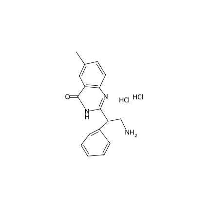 Cc1ccc2nc(C(CN)c3ccccc3)[nH]c(=O)c2c1.Cl.Cl